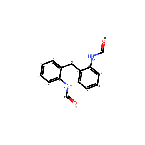 O=CNc1ccccc1Cc1ccccc1NC=O